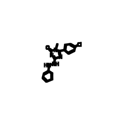 Cn1c(-c2ccc(Cl)cc2)nc(NNc2ccccc2)nc1=O